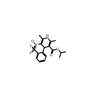 CC1=C(C(=O)OC(C)C)C(c2ccccc2C(F)(F)F)C([N+](=O)[O-])=C(C)N1